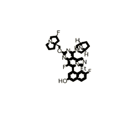 CCc1c(F)ccc2cc(O)cc(-c3c(F)c4nc(OC[C@@]56CCCN5C[C@H](F)C6)nc(N5C[C@H]6CC[C@@H](C5)N6)c4c4cncn34)c12